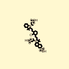 CC(CS(=O)(=O)O)N1/C(=C\C=C2/CCCC(/C=C/C3=[N+](C(C)CS(=O)(=O)O)C4C=CC=CC4C3(C)C)=C2Cl)C(C)(C)c2c1ccc1cc(S(=O)(=O)O)ccc21